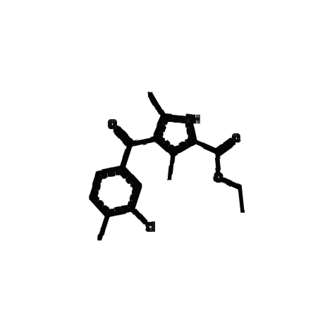 CCOC(=O)c1[nH]c(C)c(C(=O)c2ccc(C)c(Cl)c2)c1C